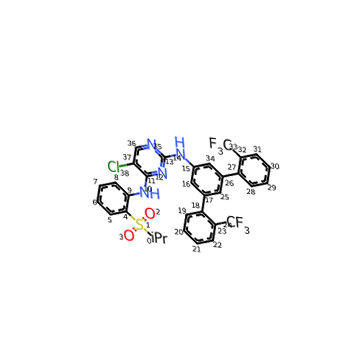 CC(C)S(=O)(=O)c1ccccc1Nc1nc(Nc2cc(-c3ccccc3C(F)(F)F)cc(-c3ccccc3C(F)(F)F)c2)ncc1Cl